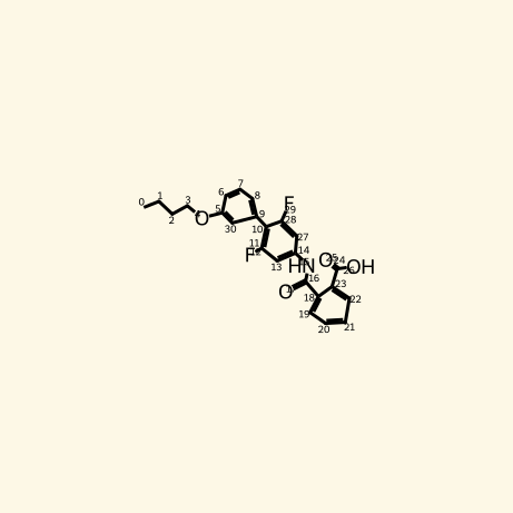 CCCCOc1cccc(-c2c(F)cc(NC(=O)c3ccccc3C(=O)O)cc2F)c1